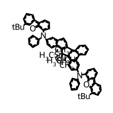 CC(C)(C)c1cccc2c1oc1c(N(c3ccccc3)c3ccc4c5c(ccc4c3)-c3c(c4ccc(N(c6ccccc6)c6cccc7c6oc6c(C(C)(C)C)cccc67)cc4c4ccccc34)C5([Si](C)(C)C)[Si](C)(C)C)cccc12